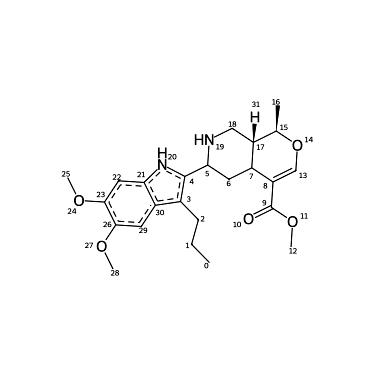 CCCc1c(C2CC3C(C(=O)OC)=CO[C@H](C)[C@H]3CN2)[nH]c2cc(OC)c(OC)cc12